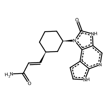 NC(=O)C=C[C@H]1CCC[C@@H](n2c(=O)[nH]c3cnc4[nH]ccc4c32)C1